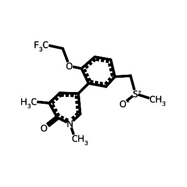 Cc1cc(-c2cc(C[S+](C)[O-])ccc2OCC(F)(F)F)cn(C)c1=O